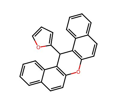 c1coc(C2c3c(ccc4ccccc34)Oc3ccc4ccccc4c32)c1